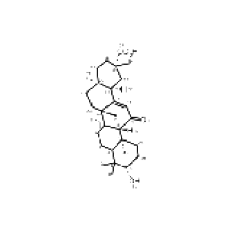 CC1(C)C2CC[C@]3(C)[C@H](C(=O)C=C4[C@@H]5C[C@@](C)(C(=O)O)CC[C@]5(C)CC[C@]43C)[C@@]2(C)CC[C@@H]1O